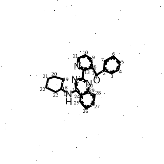 O=C(c1ccccc1)c1cccnc1-c1nc(NC2CCCCC2)c2ccccc2n1